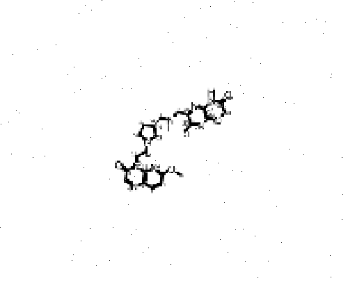 COc1ccc2ncc(=O)n(CCN3CC[C@@H](CNCc4nc5c(nc4C)OCC(=O)N5)C3)c2n1